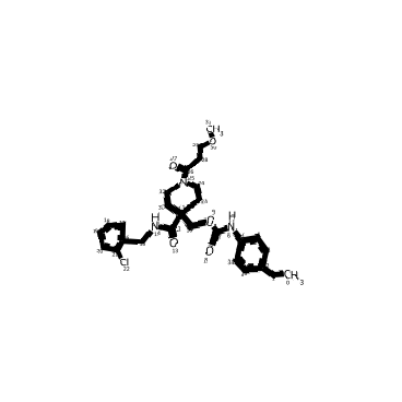 CCc1ccc(NC(=O)OCC2(C(=O)NCc3ccccc3Cl)CCN(C(=O)CCOC)CC2)cc1